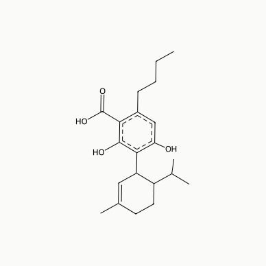 CCCCc1cc(O)c(C2C=C(C)CCC2C(C)C)c(O)c1C(=O)O